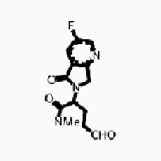 CNC(=O)C(CCC=O)N1Cc2ncc(F)cc2C1=O